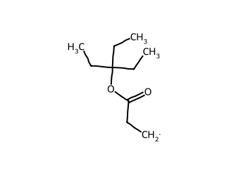 [CH2]CC(=O)OC(CC)(CC)CC